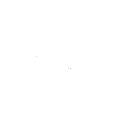 Cn1c2c(c(=O)n(CCCO)c1=O)CC(Cc1ccc(F)cc1)C(Oc1cccc(Cl)c1)=N2